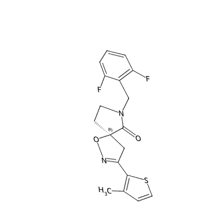 Cc1ccsc1C1=NO[C@]2(CCN(Cc3c(F)cccc3F)C2=O)C1